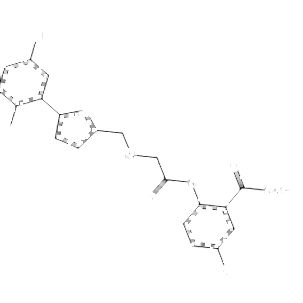 CNC(=O)c1cc(Cl)ccc1NC(=O)CNCc1ccc(-c2cc(Cl)ccc2Cl)o1